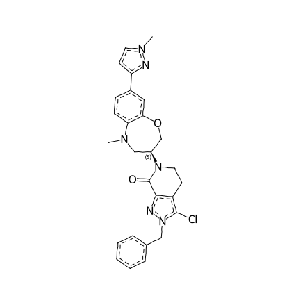 CN1C[C@H](N2CCc3c(nn(Cc4ccccc4)c3Cl)C2=O)COc2cc(-c3ccn(C)n3)ccc21